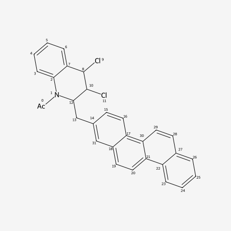 CC(=O)N1c2ccccc2C(Cl)C(Cl)C1Cc1ccc2c(ccc3c4ccccc4ccc23)c1